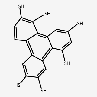 Sc1cc(S)c2c3cc(S)c(S)cc3c3ccc(S)c(S)c3c2c1